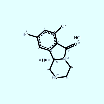 CC(C)c1cc(Cl)c2c(c1)[C@@H]1CNCCN1C2=O.Cl